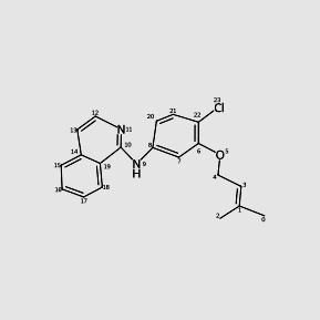 CC(C)=CCOc1cc(Nc2nccc3ccccc23)ccc1Cl